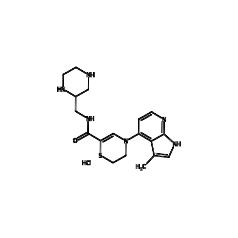 Cc1c[nH]c2nccc(N3C=C(C(=O)NCC4CNCCN4)SCC3)c12.Cl